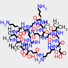 CC(C)[C@H](NC(=O)CNC(=O)[C@H](CCC(=O)O)NC(=O)[C@@H](N)CCCCN)C(=O)NCC(=O)N[C@@H](CCC(N)=O)C(=O)N[C@@H](C)C(=O)N[C@@H](CCCCN)C(=O)NCC(=O)N[C@@H](CCCNC(=N)N)C(=O)N[C@@H](CCCCN)C(=O)N[C@H](C(=O)N[C@@H](C)C(=O)N[C@@H](C)C(=O)N[C@@H](CCC(N)=O)C(=O)O)C(C)C